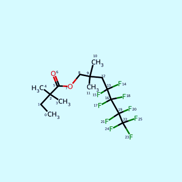 CCC(C)(C)C(=O)OCC(C)(C)CC(F)(F)C(F)(F)C(F)(F)C(F)(F)F